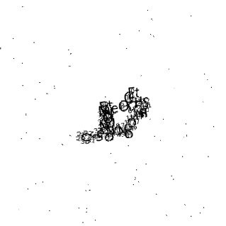 CCOc1cc2c(cc1OC)C(c1ccc(C(=O)N3CCC(n4c(=O)c5sc(-c6ccccc6)cc5n(Cc5cc(CC)no5)c4=O)CC3)cc1)=N[C@@H]1CCSC[C@H]21